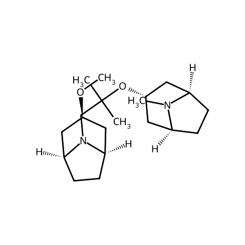 CO[C@H]1C[C@H]2CC[C@@H](C1)N2CC(C)(C)O[C@@H]1C[C@H]2CC[C@@H](C1)N2C